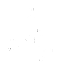 CC[C@@H](C)Oc1ccc(/N=C(/NCc2ccc(C)cc2)NC(=O)NC[C@H](C)C(=O)OC)cc1C